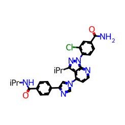 CC(C)NC(=O)c1ccc(-c2cn(-c3ccnc4c3c(C(C)C)nn4-c3ccc(C(N)=O)cc3Cl)cn2)cc1